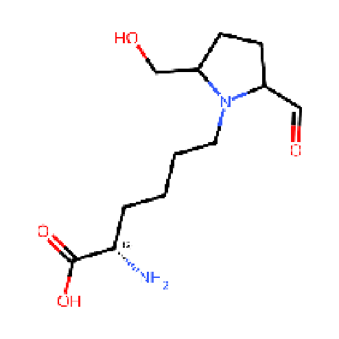 N[C@@H](CCCCN1C(C=O)CCC1CO)C(=O)O